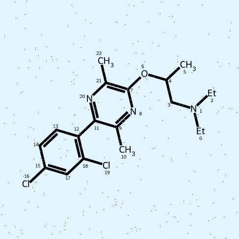 CCN(CC)CC(C)Oc1nc(C)c(-c2ccc(Cl)cc2Cl)nc1C